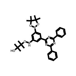 CC(C)(O)C(C)(C)OBc1cc(B2OC(C)(C)C(C)(C)O2)cc(-c2nc(-c3ccccc3)nc(-c3ccccc3)n2)c1